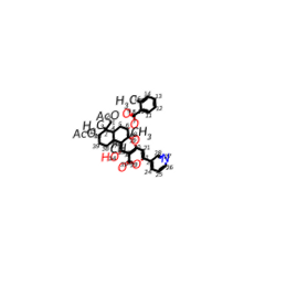 CC(=O)OCC1(C)C2C[C@H](OC(=O)c3ccccc3C)[C@@]3(C)Oc4cc(-c5cccnc5)oc(=O)c4[C@H](O)C3[C@@]2(C)CC[C@@H]1OC(C)=O